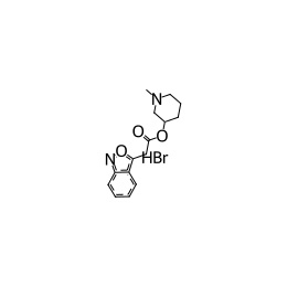 Br.CN1CCCC(OC(=O)Cc2onc3ccccc23)C1